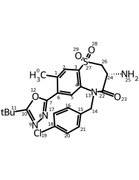 Cc1cc2c(cc1-c1nnc(C(C)(C)C)o1)N(Cc1ccc(Cl)cc1)C(=O)[C@@H](N)CS2(=O)=O